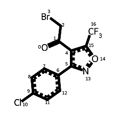 O=C(CBr)c1c(-c2ccc(Cl)cc2)noc1C(F)(F)F